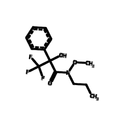 CCCN(OC)C(=O)C(O)(c1ccccc1)C(F)(F)F